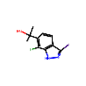 CC(C)(O)c1ccc2c(I)n[nH]c2c1F